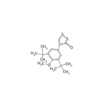 COc1c(C(C)(C)C)cc(-c2cssc2=O)cc1C(C)(C)C